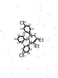 CCC1=C(CC)N(c2ccc(Cl)cc2)C(c2ccccc2)N(c2ccc(Cl)cc2)C1